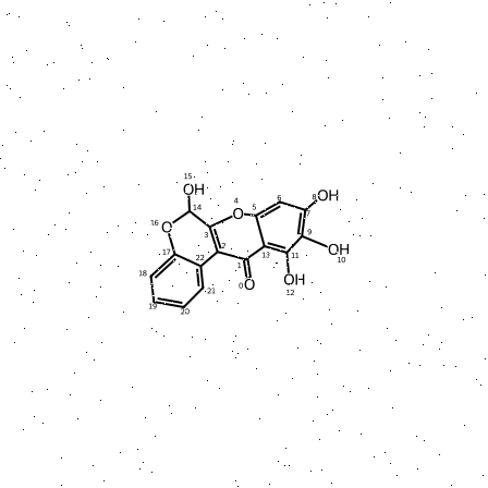 O=c1c2c(oc3cc(O)c(O)c(O)c13)C(O)Oc1ccccc1-2